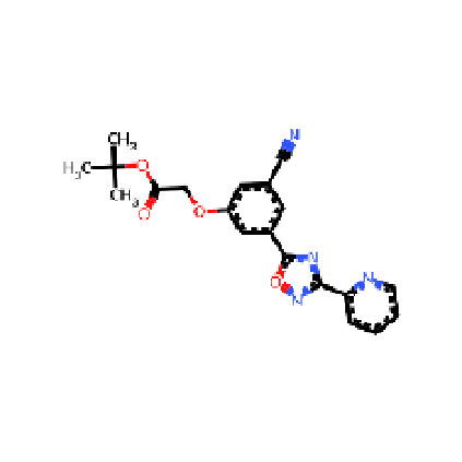 CC(C)(C)OC(=O)COc1cc(C#N)cc(-c2nc(-c3ccccn3)no2)c1